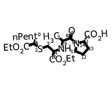 CCCCC[C@@H](SCC(NC(C)C(=O)N1CCC[C@H]1C(=O)O)C(=O)OCC)C(=O)OCC